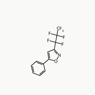 FC(F)(F)C(F)(F)C(F)(F)c1cc(-c2ccccc2)on1